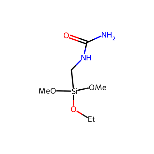 CCO[Si](CNC(N)=O)(OC)OC